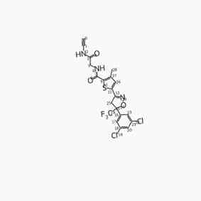 C#CNC(=O)CNC(=O)c1sc(C2=NOC(c3cc(Cl)cc(Cl)c3)(C(F)(F)F)C2)cc1C